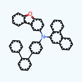 c1ccc(-c2ccccc2-c2ccc(N(c3ccc4oc5ccccc5c4c3)c3cc4ccccc4c4ccccc34)cc2)cc1